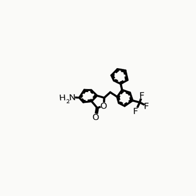 Nc1ccc2c(c1)C(=O)OC2Cc1ccc(C(F)(F)F)cc1-c1ccccc1